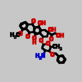 COc1cccc2c1C(=O)c1c(O)c3c(c(O)c1C2=O)C[C@@](O)(C(=O)CO)C[C@@H]3O[C@H]1C[C@H](N)[C@H](OCc2ccccc2)[C@H](C)O1